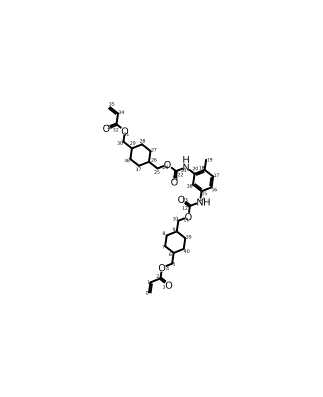 C=CC(=O)OCC1CCC(COC(=O)Nc2ccc(C)c(NC(=O)OCC3CCC(COC(=O)C=C)CC3)c2)CC1